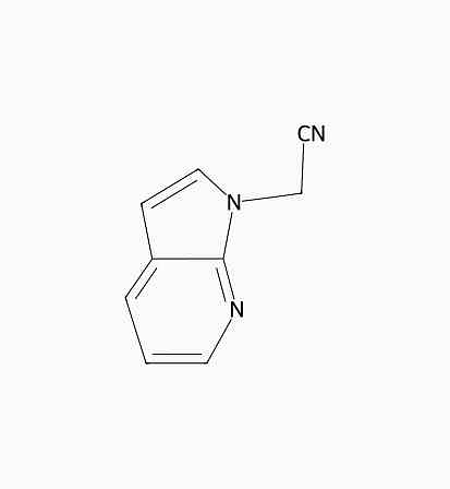 N#CCn1ccc2cccnc21